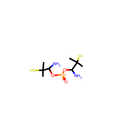 CC(C)(S)C(N)O[PH](=O)OC(N)C(C)(C)S